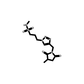 CNS(=O)(=O)CCCn1cc(CN2C(=O)CC(C)C2=O)nn1